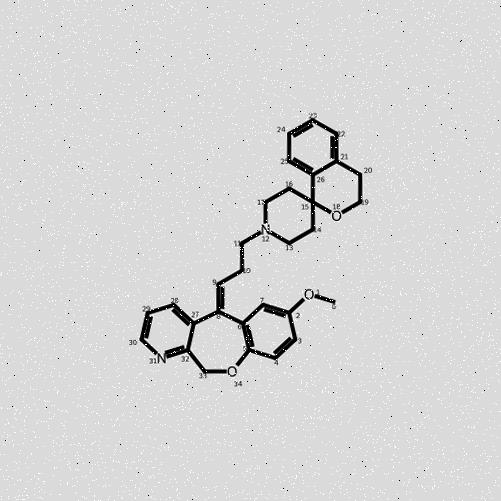 COc1ccc2c(c1)C(=CCCN1CCC3(CC1)OCCc1ccccc13)c1cccnc1CO2